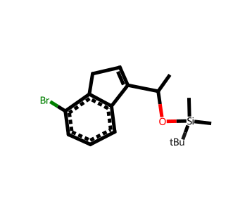 CC(O[Si](C)(C)C(C)(C)C)C1=CCc2c(Br)cccc21